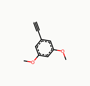 [C]#Cc1cc(OC)cc(OC)c1